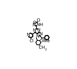 COC(c1ccccc1)c1nc2nc(-c3noc(=O)[nH]3)nc(-c3cncc(Cl)c3)c2n1CC1CCC(C)CC1